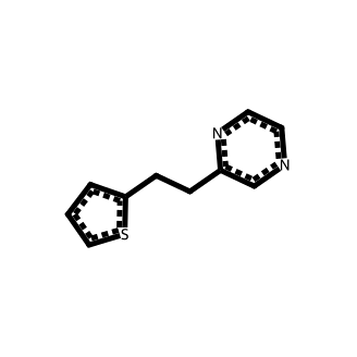 c1csc(CCc2cnccn2)c1